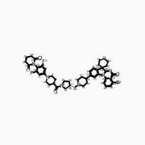 O=C(C1CCN(c2cc(F)c(N3C(=O)CCCC3=O)c(F)c2)CC1)N1CC[C@H](CN2CCC(c3ccc4c(c3)-n3c(nc(=O)c5c(Br)cccc53)C43CCCCC3)CC2)C1